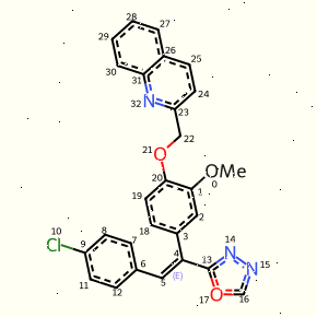 COc1cc(/C(=C\c2ccc(Cl)cc2)c2nnco2)ccc1OCc1ccc2ccccc2n1